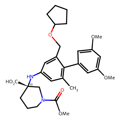 COC(=O)N1CCC[C@@](Nc2cc(C)c(-c3cc(OC)cc(OC)c3)c(COC3CCCC3)c2)(C(=O)O)C1